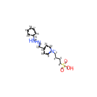 O=S(=O)(O)CCCC[n+]1ccc(C=NNc2ccccc2)cc1